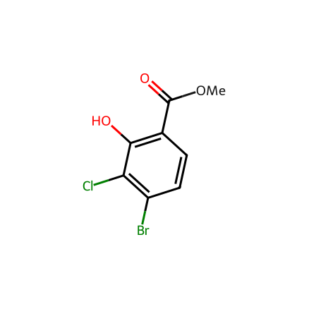 COC(=O)c1ccc(Br)c(Cl)c1O